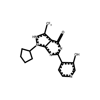 O=c1nc(-c2ccncc2O)nc2n(C3CCCC3)[nH]c(C(F)(F)F)c1-2